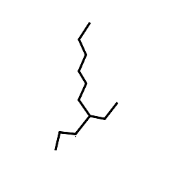 CC[CH]C(CC)CCCCCC